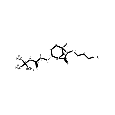 CCCCON1C(=O)N2C[C@@H]1CC[C@H]2CNC(=O)OC(C)(C)C